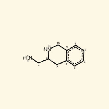 NCC1Cc2ccccc2CN1